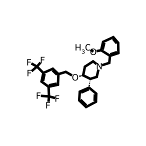 COc1ccccc1CN1CC[C@@H](OCc2cc(C(F)(F)F)cc(C(F)(F)F)c2)[C@@H](c2ccccc2)C1